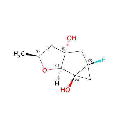 C[C@H]1C[C@@]2(O)C[C@]3(F)C[C@]3(O)[C@H]2O1